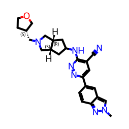 Cn1cc2cc(-c3cc(C#N)c(NC4C[C@@H]5CN(C[C@@H]6CCOC6)C[C@@H]5C4)nn3)ccc2n1